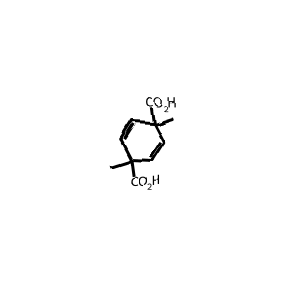 CC1(C(=O)O)C=CC(C)(C(=O)O)C=C1